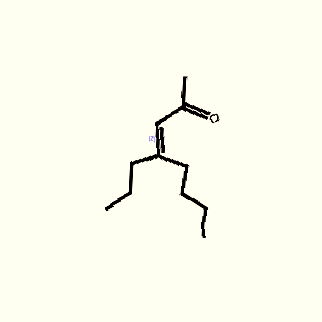 CCCC/C(=C\C(C)=O)CCC